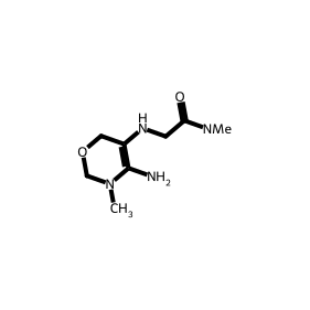 CNC(=O)CNC1=C(N)N(C)COC1